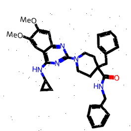 COc1cc2nc(N3CCC(Cc4ccccc4)(C(=O)NCc4ccccc4)CC3)nc(NC3CC3)c2cc1OC